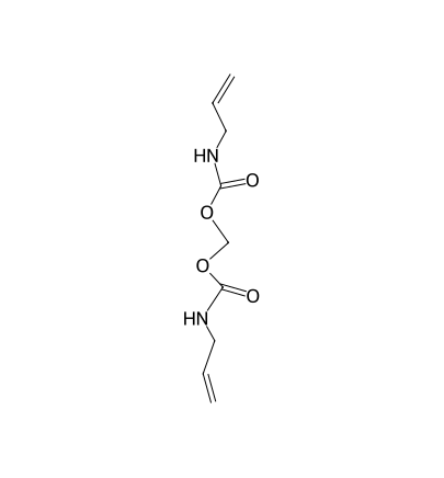 C=CCNC(=O)OCOC(=O)NCC=C